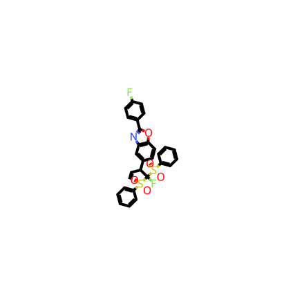 C=CC(c1ccc2oc(-c3ccc(F)cc3)nc2c1)C(F)(S(=O)(=O)c1ccccc1)S(=O)(=O)c1ccccc1